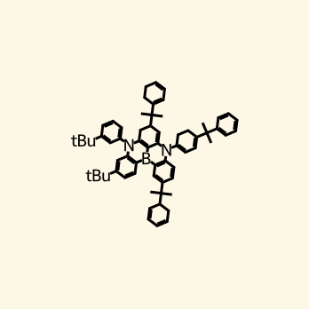 CC(C)(C)c1cccc(N2C3=C4B(c5cc(C(C)(C)C6C=CC=CC6)ccc5N(C5=CC=C(C(C)(C)c6ccccc6)CC5)C4=CC(C(C)(C)C4=CC=CCC4)C3)c3ccc(C(C)(C)C)cc32)c1